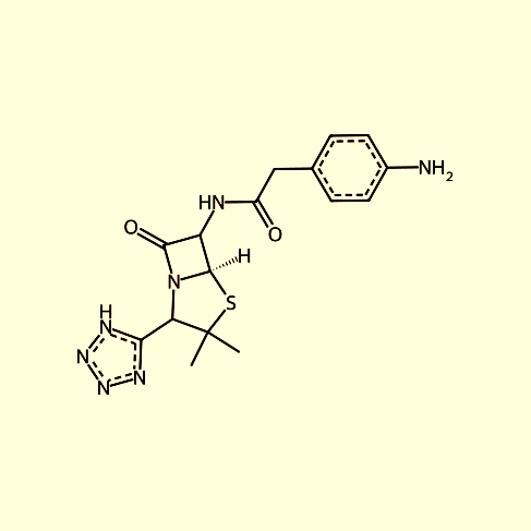 CC1(C)S[C@@H]2C(NC(=O)Cc3ccc(N)cc3)C(=O)N2C1c1nnn[nH]1